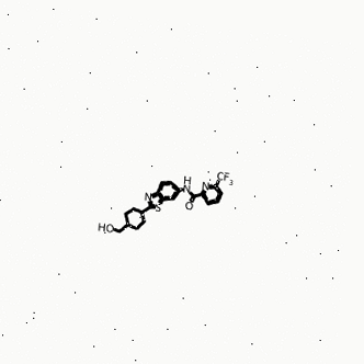 O=C(Nc1ccc2nc(C3CCC(CO)CC3)sc2c1)c1cccc(C(F)(F)F)n1